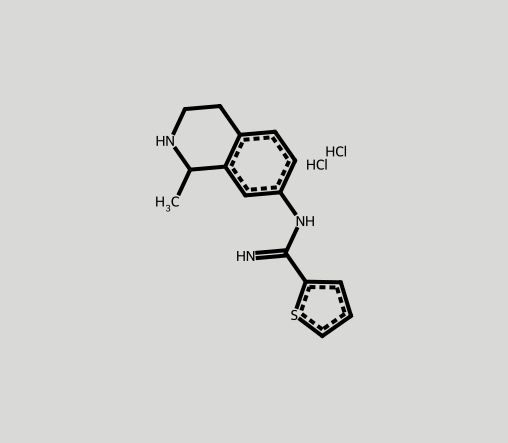 CC1NCCc2ccc(NC(=N)c3cccs3)cc21.Cl.Cl